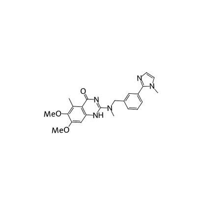 COc1cc2[nH]c(N(C)Cc3cccc(-c4nccn4C)c3)nc(=O)c2c(C)c1OC